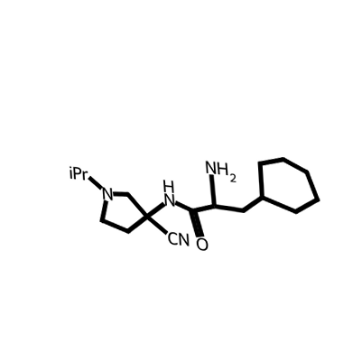 CC(C)N1CCC(C#N)(NC(=O)C(N)CC2CCCCC2)C1